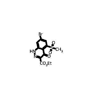 CCOC(=O)c1n[nH]c2cc(Br)cc(S(C)(=O)=O)c2c1=O